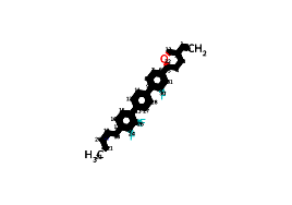 C=CC1CCC(c2ccc(-c3ccc(-c4ccc(C/C=C\CC)c(F)c4F)cc3)c(F)c2)OC1